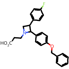 O=C(O)CCN1CC(c2ccc(F)cc2)C1c1ccc(OCc2ccccc2)cc1